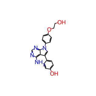 Nc1ncnc2c1c(-c1ccc(O)cc1)cn2-c1ccc(OCCO)cc1